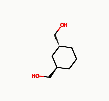 OC[C@@H]1CCC[C@@H](CO)C1